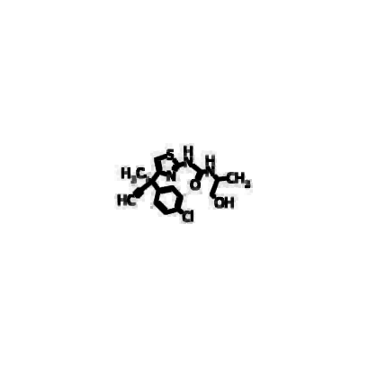 C#C[C@](C)(c1ccc(Cl)cc1)c1csc(NC(=O)NC(C)CO)n1